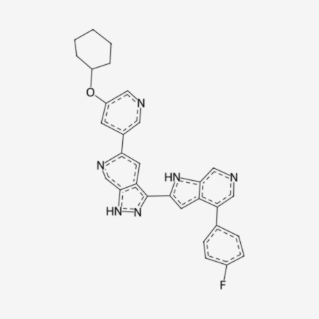 Fc1ccc(-c2cncc3[nH]c(-c4n[nH]c5cnc(-c6cncc(OC7CCCCC7)c6)cc45)cc23)cc1